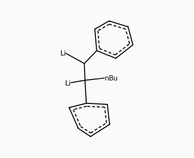 [Li][CH](c1ccccc1)[C]([Li])(CCCC)c1ccccc1